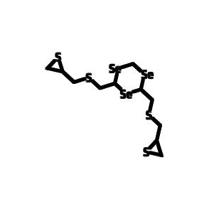 C1[Se]C(CSCC2CS2)[Se]C(CSCC2CS2)[Se]1